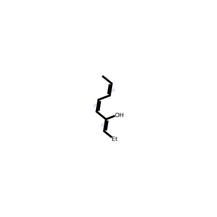 C\C=C/C=C\C(O)=C\CC